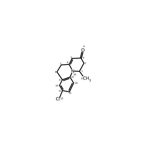 CC1CC(=O)C=C2CCc3cc(Cl)ccc3N21